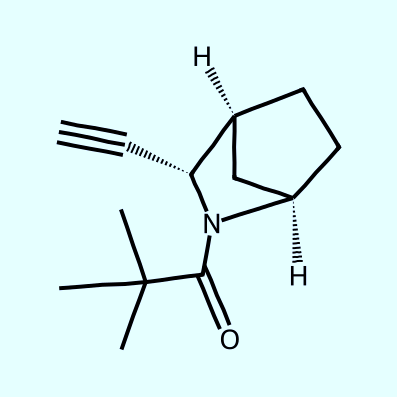 C#C[C@@H]1[C@H]2CC[C@H](C2)N1C(=O)C(C)(C)C